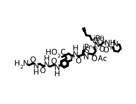 C#CCCCON(C(=O)[C@@H](NC(=O)[C@H]1CCCCN1C)[C@@H](C)CC)[C@H](C[C@@H](OC(C)=O)c1nc(C(=O)N[C@@H](Cc2ccc(NC(=O)CNC(=O)CNC(=O)CN)cc2)CC(C)(C)C(=O)O)cs1)C(C)C